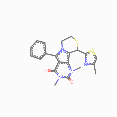 Cc1csc(C2SCCn3c(-c4ccccc4)c4c(=O)n(C)c(=O)n(C)c4c32)n1